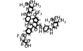 Cc1cnc(N[C@H]2CC[C@@H](NCC(C(=O)C(CN[C@H]3CC[C@@H](Nc4ncc(C)c(N(C)C)n4)CC3)c3ccc(OC(F)(F)F)cc3)c3ccc(OC(F)(F)F)cc3)CC2)nc1N(C)C.O=C(O)C(F)(F)F